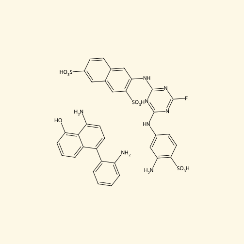 Nc1cc(Nc2nc(F)nc(Nc3cc4ccc(S(=O)(=O)O)cc4cc3S(=O)(=O)O)n2)ccc1S(=O)(=O)O.Nc1ccccc1-c1ccc(N)c2c(O)cccc12